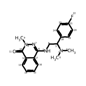 CN(C)C(CNc1nn(C)c(=O)c2ccccc12)c1ccc(F)cc1